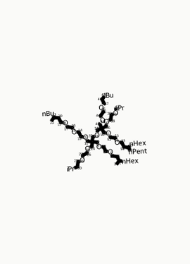 CCCCCCC(C)CCOCCOCC(COCCOCCOCCC(C)CCCC)(COCCOCCC(C)C)COCC(COCCOCCC)(COCCOCCC(C)CC)COCCOCCC(CCCCC)CCCCCC